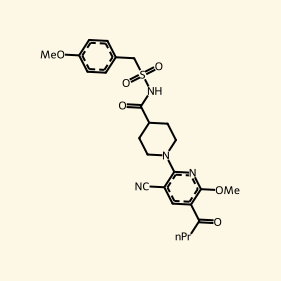 CCCC(=O)c1cc(C#N)c(N2CCC(C(=O)NS(=O)(=O)Cc3ccc(OC)cc3)CC2)nc1OC